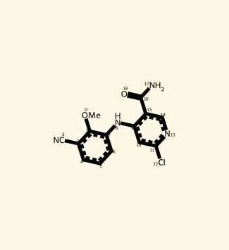 COc1c(C#N)cccc1Nc1cc(Cl)ncc1C(N)=O